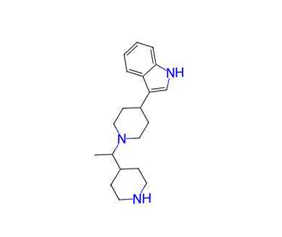 CC(C1CCNCC1)N1CCC(c2c[nH]c3ccccc23)CC1